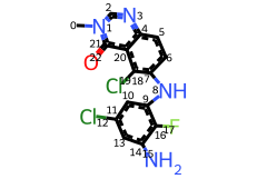 Cn1cnc2ccc(Nc3cc(Cl)cc(N)c3F)c(Cl)c2c1=O